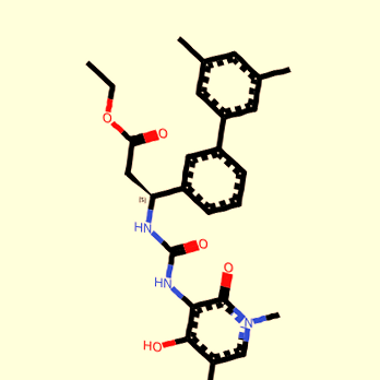 CCOC(=O)C[C@H](NC(=O)Nc1c(O)c(C)cn(C)c1=O)c1cccc(-c2cc(C)cc(C)c2)c1